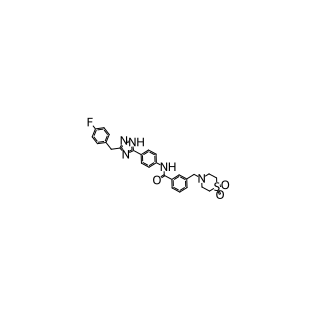 O=C(Nc1ccc(-c2nc(Cc3ccc(F)cc3)n[nH]2)cc1)c1cccc(CN2CCS(=O)(=O)CC2)c1